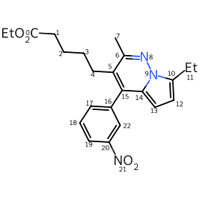 CCOC(=O)CCCCc1c(C)nn2c(CC)ccc2c1-c1cccc([N+](=O)[O-])c1